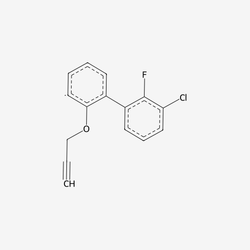 C#CCOc1[c]cccc1-c1cccc(Cl)c1F